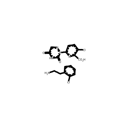 NCCc1ccccc1Cl.O=C(O)c1nc(-n2ncc(=O)[nH]c2=O)ccc1Cl